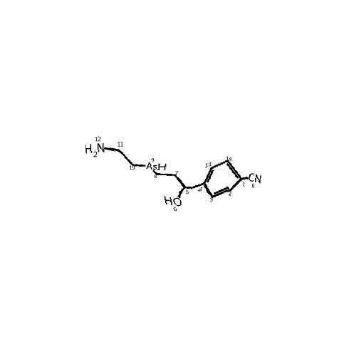 N#Cc1ccc(C(O)CC[AsH]CCN)cc1